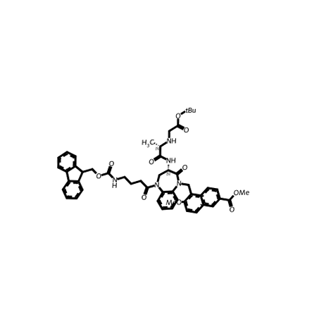 COC(=O)c1ccc2c(CN3C(=O)[C@@H](NC(=O)[C@H](C)NCC(=O)OC(C)(C)C)CN(C(=O)CCCNC(=O)OCC4c5ccccc5-c5ccccc54)c4ccccc43)c(OC)ccc2c1